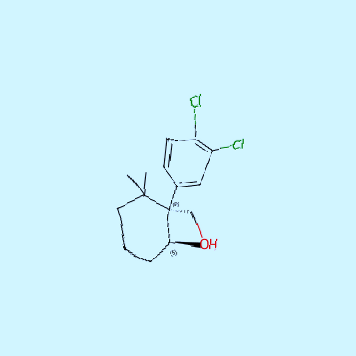 C[C@H]1CCCC(C)(C)[C@@]1(CO)c1ccc(Cl)c(Cl)c1